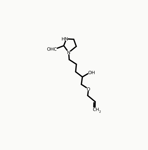 C=CCOCC(O)CCCN1CCNC1C=O